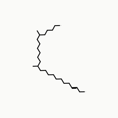 [CH2]CC=CCCCCCCCCC(C)CCCCCCC(C)CCCC[CH2]